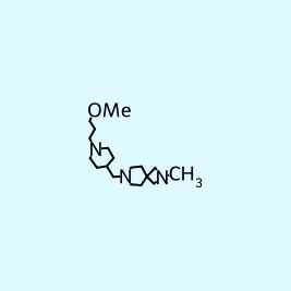 COCCCN1CCC(CN2CCC3(CC2)CN(C)C3)CC1